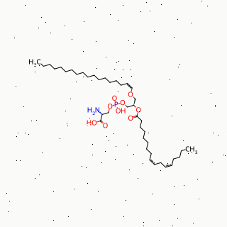 CCCC/C=C\C/C=C\CCCCCCCC(=O)O[C@H](CO/C=C\CCCCCCCCCCCCCCCC)COP(=O)(O)OC[C@H](N)C(=O)O